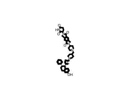 O=C1CCC(N2Cc3cc4c(cc3C2=O)CN(C2CCN(CC3CCN(c5ccc([C@@H]6c7ccc(O)cc7CC[C@@H]6c6ccccc6)cc5)CC3)CC2)C4=O)C(=O)N1